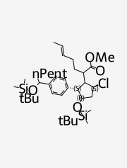 CC=CCCC(C(=O)OC)C1[C@@H](c2ccc(C(CCCCC)O[Si](C)(C)C(C)(C)C)cc2)[C@H](O[Si](C)(C)C(C)(C)C)C[C@@H]1Cl